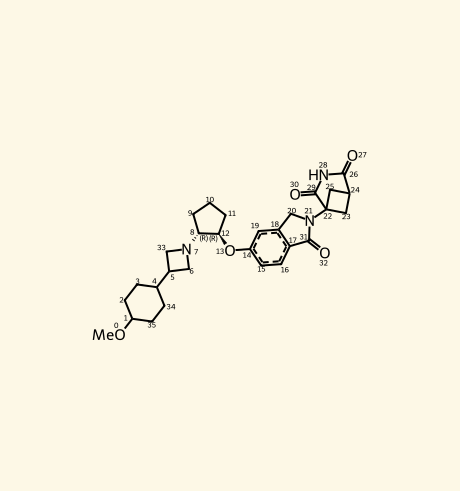 COC1CCC(C2CN([C@@H]3CCC[C@H]3Oc3ccc4c(c3)CN(C35CC(C3)C(=O)NC5=O)C4=O)C2)CC1